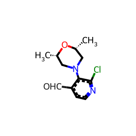 C[C@@H]1CN(c2c(C=O)ccnc2Cl)C[C@H](C)O1